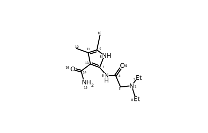 CCN(CC)CC(=O)Nc1[nH]c(C)c(C)c1C(N)=O